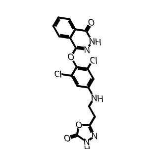 O=c1[nH]nc(CCNc2cc(Cl)c(Oc3n[nH]c(=O)c4ccccc34)c(Cl)c2)o1